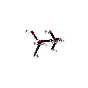 CCCCCCCCCCCCSc1cc(CCCCCCCCC)c(C)c(SCCCCCCCCCCCC)c1O.CCCCCCCCSc1cc(CC)c(O)c(SCCCCCCCC)c1C